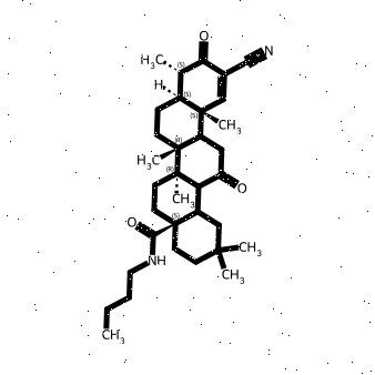 CCCCNC(=O)[C@]12CCC(C)(C)CC1C1C(=O)CC3[C@@]4(C)C=C(C#N)C(=O)[C@@H](C)[C@@H]4CC[C@@]3(C)[C@]1(C)CC2